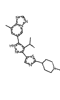 CCCN1CCC(c2ncc(-c3n[nH]c(-c4cc(C)c5ncnn5c4)c3C(C)C)s2)CC1